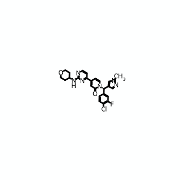 Cn1cc([C@@H](c2ccc(Cl)c(F)c2)n2ccc(-c3ccnc(NC4CCOCC4)n3)cc2=O)cn1